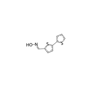 ON=Cc1ccc(-c2cccs2)s1